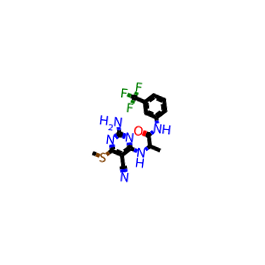 CSc1nc(N)nc(NC(C)C(=O)Nc2cccc(C(F)(F)F)c2)c1C#N